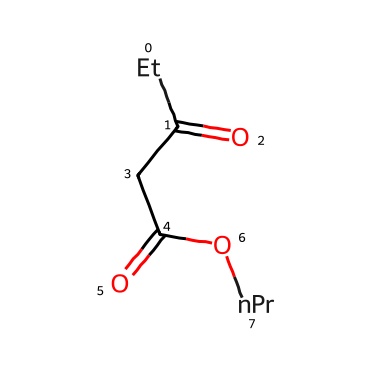 [CH2]CC(=O)CC(=O)OCCC